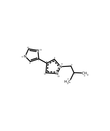 CC(C)Cn1cc(C2=C[N]C=N2)cn1